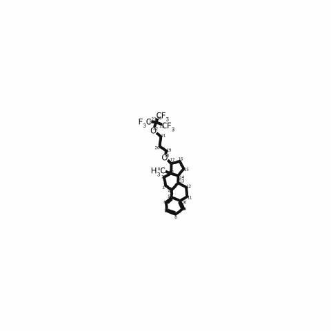 CC12CCC3c4ccccc4CCC3C1CCC2OCCCOC(C(F)(F)F)(C(F)(F)F)C(F)(F)F